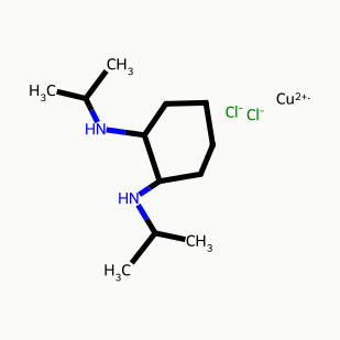 CC(C)NC1CCCCC1NC(C)C.[Cl-].[Cl-].[Cu+2]